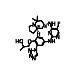 CC(O)COc1ccc(Nc2ncc(F)c(N[C@@H]3C[C@H]4CCCN4C(C)(C)C3)n2)cc1-n1cnnn1